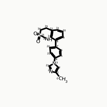 Cc1cn(-c2ccc(-c3cccc4c3NS(=O)(=O)CC4)cc2)cn1